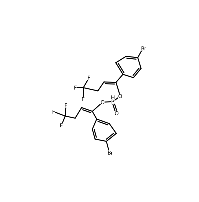 O=[PH](OC(=CCC(F)(F)F)c1ccc(Br)cc1)OC(=CCC(F)(F)F)c1ccc(Br)cc1